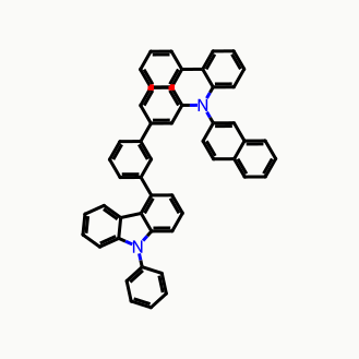 c1ccc(-c2ccccc2N(c2cccc(-c3cccc(-c4cccc5c4c4ccccc4n5-c4ccccc4)c3)c2)c2ccc3ccccc3c2)cc1